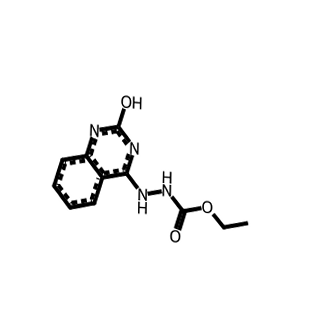 CCOC(=O)NNc1nc(O)nc2ccccc12